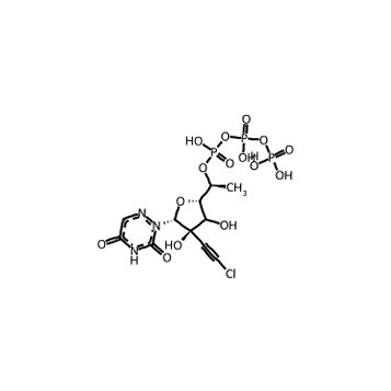 C[C@H](OP(=O)(O)OP(=O)(O)OP(=O)(O)O)[C@H]1O[C@@H](n2ncc(=O)[nH]c2=O)[C@@](O)(C#CCl)C1O